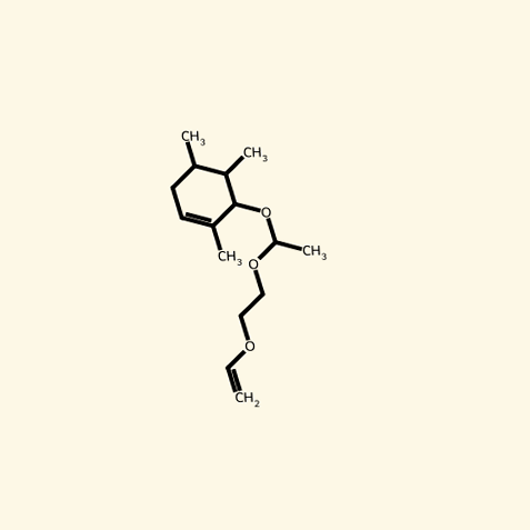 C=COCCOC(C)OC1C(C)=CCC(C)C1C